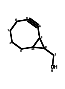 OCC1C2C#CCCCCC21